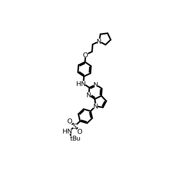 CC(C)(C)NS(=O)(=O)c1ccc(-n2ccc3cnc(Nc4ccc(OCCN5CCCC5)cc4)nc32)cc1